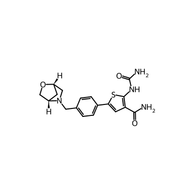 NC(=O)Nc1sc(-c2ccc(CN3C[C@@H]4C[C@H]3CO4)cc2)cc1C(N)=O